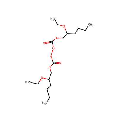 CCCCC(COC(=O)OOC(=O)OCC(CCCC)OCC)OCC